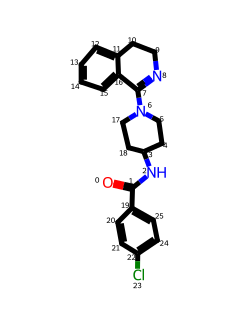 O=C(NC1CCN(C2=NCCc3ccccc32)CC1)c1ccc(Cl)cc1